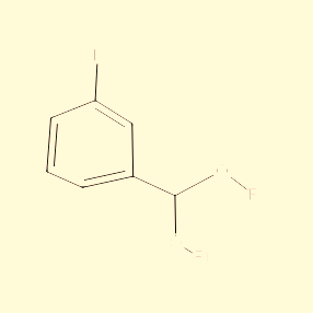 CCOC(OCC)c1cccc(F)c1